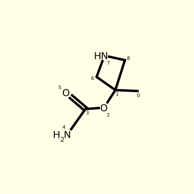 CC1(OC(N)=O)CNC1